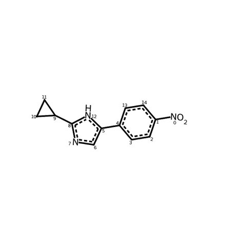 O=[N+]([O-])c1ccc(-c2cnc(C3CC3)[nH]2)cc1